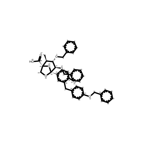 C[C@H]1[C@H](OCc2ccccc2)[C@@H](OCc2ccccc2)[C@@]2(c3ccc(Cl)c(Cc4ccc(OCc5ccccc5)cc4)c3)OC[C@]1(C(=O)O)O2